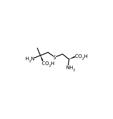 C[C@@](N)(CSC[C@H](N)C(=O)O)C(=O)O